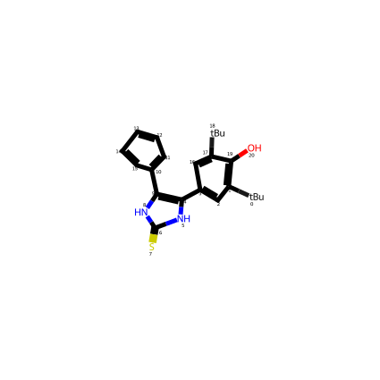 CC(C)(C)c1cc(-c2[nH]c(=S)[nH]c2-c2ccccc2)cc(C(C)(C)C)c1O